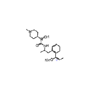 C/C=C(/OC)C1=C(CC(C)NC(=O)N(O)C2CCN(C)CC2)C=CCC1